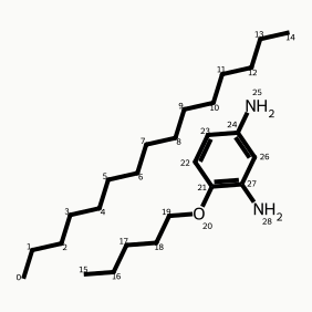 CCCCCCCCCCCCCCC.CCCCCOc1ccc(N)cc1N